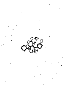 Cn1c([C@H]([C@H](O)c2cccc(Cl)c2)N(CC2CC2)C(=O)O)nc2ccccc21